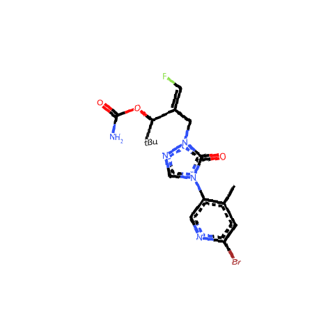 Cc1cc(Br)ncc1-n1cnn(CC(=CF)C(OC(N)=O)C(C)(C)C)c1=O